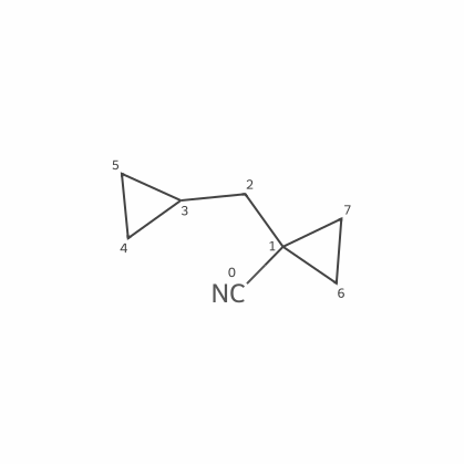 N#CC1(CC2CC2)CC1